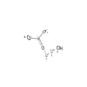 Cl.O=C([O-])[O-].[Li+].[Li+]